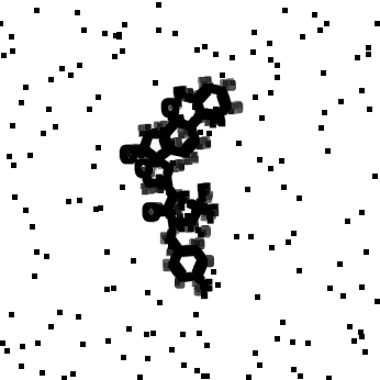 C[C@H](N(Cc1ccc(F)cc1)C(=O)CN1CO[C@]2(C1)C(=O)CC1=C2C=CC(c2ncccc2F)C1=O)C(F)(F)F